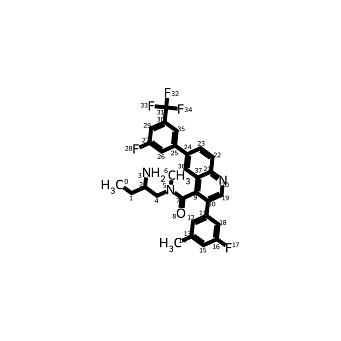 CCC(N)CN(C)C(=O)c1c(-c2cc(C)cc(F)c2)cnc2ccc(-c3cc(F)cc(C(F)(F)F)c3)cc12